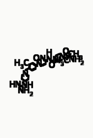 Cc1cc(-n2ccc(NC(=O)N3CCN(C(=O)C(C)(C)N)CC3)nc2=O)ccc1CN1CCC(NC(=N)N)CC1